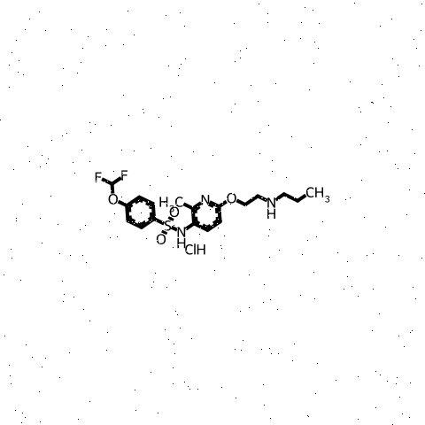 CCCNCCOc1ccc(NS(=O)(=O)c2ccc(OC(F)F)cc2)c(C)n1.Cl